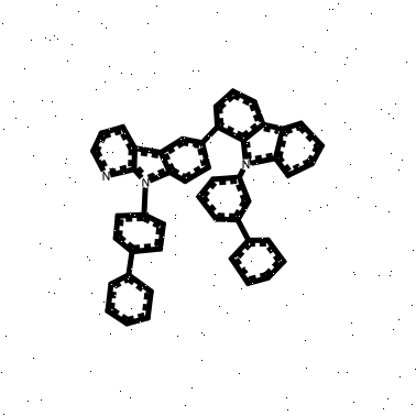 c1ccc(-c2ccc(-n3c4ccc(-c5cccc6c7ccccc7n(-c7cccc(-c8ccccc8)c7)c56)cc4c4cccnc43)cc2)cc1